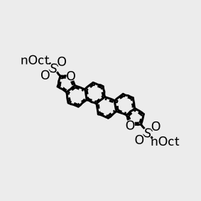 CCCCCCCCS(=O)(=O)c1cc2ccc3c4ccc5c(ccc6cc(S(=O)(=O)CCCCCCCC)oc65)c4ccc3c2o1